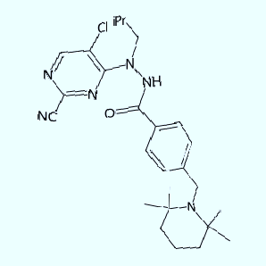 CC(C)CN(NC(=O)c1ccc(CN2C(C)(C)CCCC2(C)C)cc1)c1nc(C#N)ncc1Cl